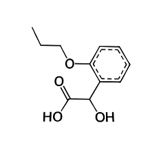 CCCOc1ccccc1C(O)C(=O)O